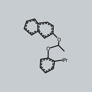 CC(Oc1ccc2ccccc2c1)Oc1ccccc1C(C)C